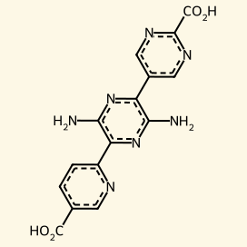 Nc1nc(-c2ccc(C(=O)O)cn2)c(N)nc1-c1cnc(C(=O)O)nc1